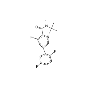 CN(C(=O)c1ncc(-c2cc(F)ccc2F)cc1F)C(C)(C)C